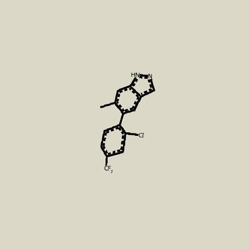 Cc1cc2[nH]ncc2cc1-c1ccc(C(F)(F)F)cc1Cl